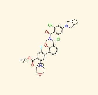 COC(=O)c1cc(F)c(-c2cccc3c2OCN(C(=O)c2c(Cl)cc(N4CC5CCC5C4)cc2Cl)C3)cc1N1C2CCC1COC2